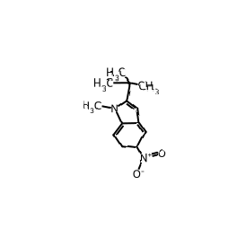 Cn1c(C(C)(C)C)cc2c1=CCC([N+](=O)[O-])C=2